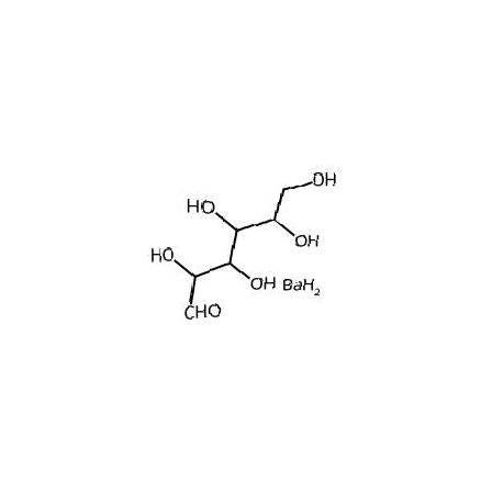 O=CC(O)C(O)C(O)C(O)CO.[BaH2]